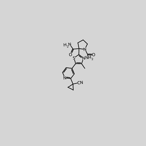 Cc1nc(C2(C(N)=O)CCCN2C(N)=O)sc1-c1ccnc(C2(C#N)CC2)c1